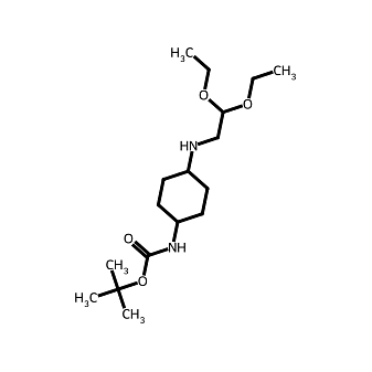 CCOC(CNC1CCC(NC(=O)OC(C)(C)C)CC1)OCC